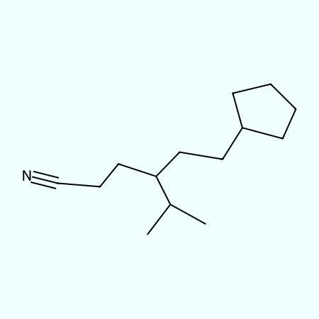 CC(C)C(CCC#N)CCC1CCCC1